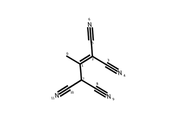 CC(=C(C#N)C#N)C(C#N)C#N